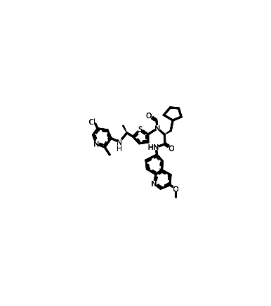 COc1cnc2ccc(NC(=O)[C@H](CC3CCCC3)N(C=O)c3ccc([C@H](C)Nc4cc(Cl)cnc4C)s3)cc2c1